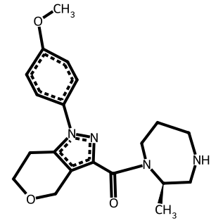 COc1ccc(-n2nc(C(=O)N3CCCNC[C@H]3C)c3c2CCOC3)cc1